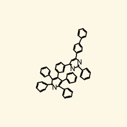 c1ccc(-c2ccc(-c3cc(-c4cccc(-c5c(-c6ccccc6)c(-c6ccccc6)nc(-c6ccccc6)c5-c5ccccc5)c4)nc(-c4ccccc4)n3)cc2)cc1